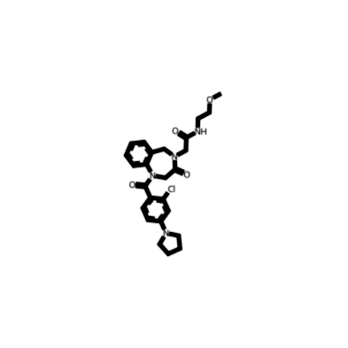 COCCNC(=O)CN1Cc2ccccc2N(C(=O)c2ccc(N3CCCC3)cc2Cl)CC1=O